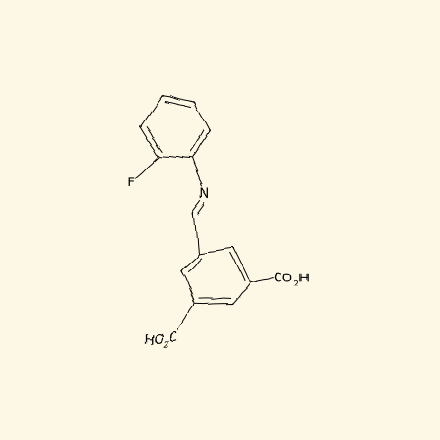 O=C(O)c1cc(C=Nc2ccccc2F)cc(C(=O)O)c1